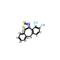 Fc1ccc2c(c1F)-c1ncsc1-c1ccccc1C2